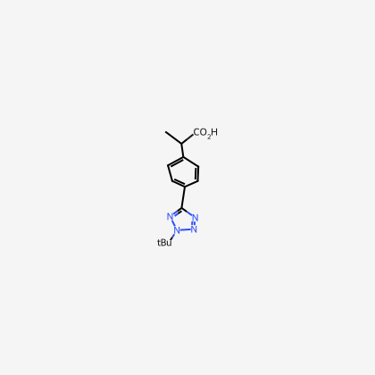 CC(C(=O)O)c1ccc(-c2nnn(C(C)(C)C)n2)cc1